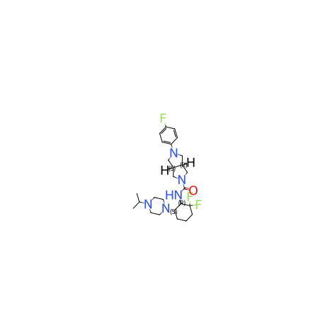 CC(C)N1CCN([C@H]2CCCC(F)(F)[C@@H]2NC(=O)N2C[C@@H]3CN(c4ccc(F)cc4)C[C@@H]3C2)CC1